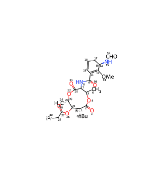 CCCC[C@H]1C(=O)OC(C)C(NC(=O)C2=C(OC)[C@H](NC=O)CC=C2)C(=O)O[C@@H](C)C1OC(=O)CC(C)C